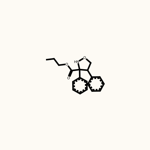 CCCOC(=O)C1(c2ccccc2)NOCC1c1ccccc1